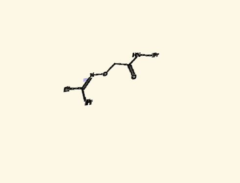 CC/C(=N/OCC(=O)NC(C)C)C(C)C